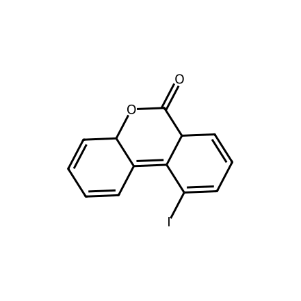 O=C1OC2C=CC=CC2=C2C(I)=CC=CC12